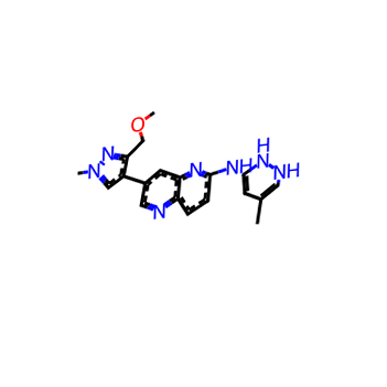 COCc1nn(C)cc1-c1cnc2ccc(NC3=CC(C)=CNN3)nc2c1